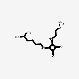 CC(C)CCCCNc1c(NCCON)c(=O)c1=O